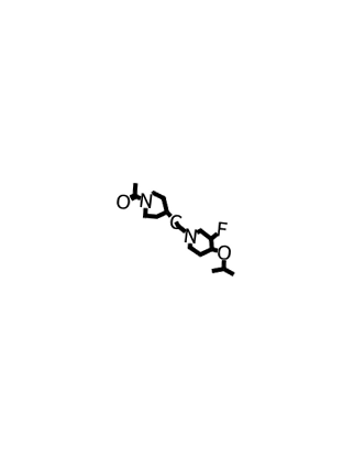 CC(=O)N1CCC(CCN2CCC(OC(C)C)C(F)C2)CC1